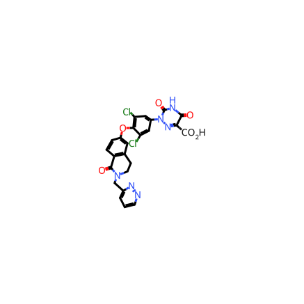 O=C(O)c1nn(-c2cc(Cl)c(Oc3ccc4c(c3)CCN(Cc3cccnn3)C4=O)c(Cl)c2)c(=O)[nH]c1=O